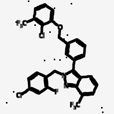 Fc1cc(Cl)ccc1Cn1nc2c(C(F)(F)F)cccc2c1-c1cccc(COc2cccc(C(F)(F)F)c2Cl)c1